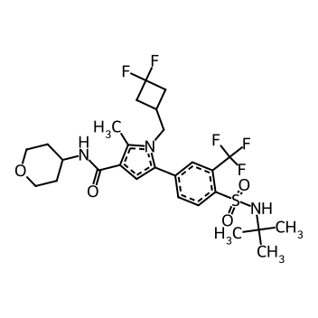 Cc1c(C(=O)NC2CCOCC2)cc(-c2ccc(S(=O)(=O)NC(C)(C)C)c(C(F)(F)F)c2)n1CC1CC(F)(F)C1